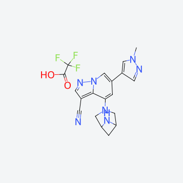 Cn1cc(-c2cc(N3CC4CC(C3)N4)c3c(C#N)cnn3c2)cn1.O=C(O)C(F)(F)F